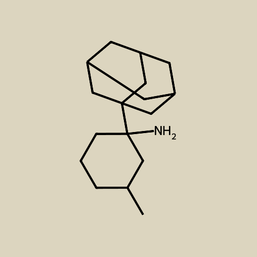 CC1CCCC(N)(C23CC4CC(CC(C4)C2)C3)C1